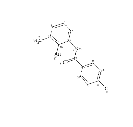 Cc1cccc(NC(=O)c2ccc(Cl)cc2)c1O